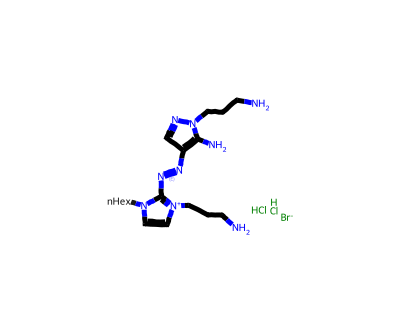 CCCCCCn1cc[n+](CCCN)c1/N=N/c1cnn(CCCN)c1N.Cl.Cl.[Br-]